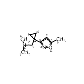 Cc1cc(C2(CN(C)C)CC2)no1